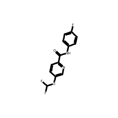 O=C(Nc1ccc(F)cc1)c1ccc(OC(F)F)cn1